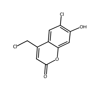 O=c1cc(CCl)c2cc(Cl)c(O)cc2o1